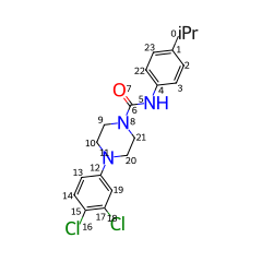 CC(C)c1ccc(NC(=O)N2CCN(c3ccc(Cl)c(Cl)c3)CC2)cc1